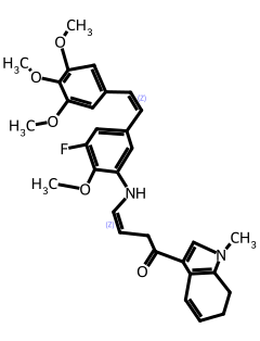 COc1cc(/C=C\c2cc(F)c(OC)c(N/C=C\CC(=O)c3cn(C)c4c3C=CCC4)c2)cc(OC)c1OC